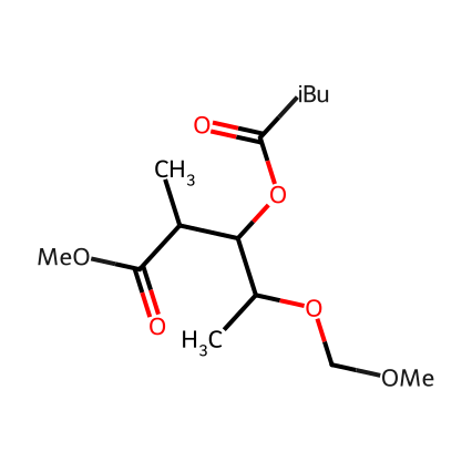 CCC(C)C(=O)OC(C(C)OCOC)C(C)C(=O)OC